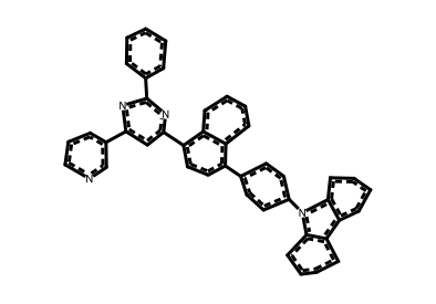 c1ccc(-c2nc(-c3cccnc3)cc(-c3ccc(-c4ccc(-n5c6ccccc6c6ccccc65)cc4)c4ccccc34)n2)cc1